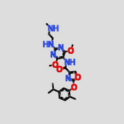 CNCCNc1nc(OC)c(NC(=O)c2coc(Oc3cc(C(C)C)ccc3C)n2)c(OC)n1